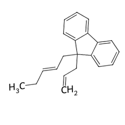 C=CCC1(C/C=C/CC)c2ccccc2-c2ccccc21